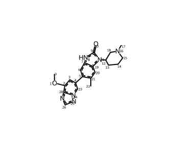 COc1cc(-c2cc3[nH]c(=O)n(C4CCCN(C)C4)c3cc2C)cn2ncnc12